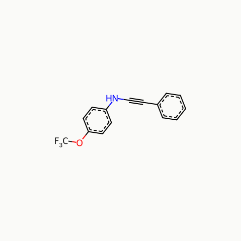 FC(F)(F)Oc1ccc(NC#Cc2ccccc2)cc1